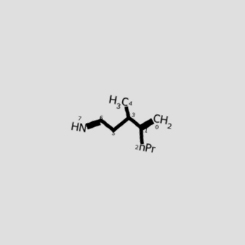 C=C(CCC)C(C)CC=N